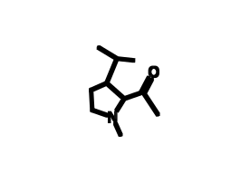 CC(=O)C1C(C(C)C)CCN1C